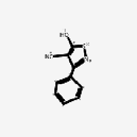 N#Cc1c(-c2ccccc2)nsc1O